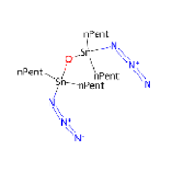 CCCC[CH2][Sn]([CH2]CCCC)([N]=[N+]=[N-])[O][Sn]([CH2]CCCC)([CH2]CCCC)[N]=[N+]=[N-]